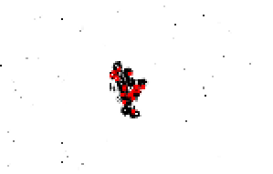 CSN1c2cc3c(cc2B2c4cc(Bc5ccccc5C)c(C)cc4Oc4cc(-c5cccc6c5oc5ccccc56)cc1c42)B1c2ccccc2N(c2ccccc2)c2cc(-c4cccc5c4oc4ccccc45)cc(c21)N3